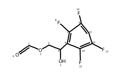 O=COCC(O)c1c(F)c(F)cc(F)c1F